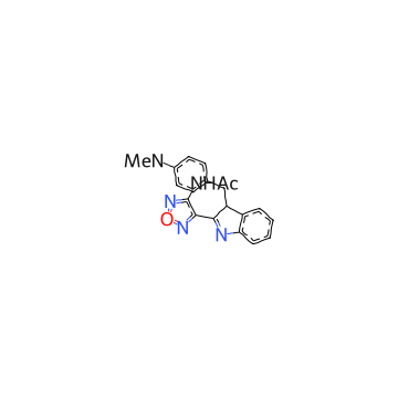 CNc1ccc(CC2C(c3nonc3NC(C)=O)=Nc3ccccc32)cc1